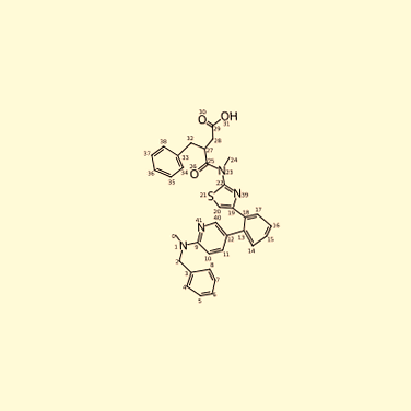 CN(Cc1ccccc1)c1ccc(-c2ccccc2-c2csc(N(C)C(=O)C(CC(=O)O)Cc3ccccc3)n2)cn1